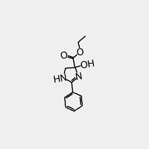 CCOC(=O)C1(O)CNC(c2ccccc2)=N1